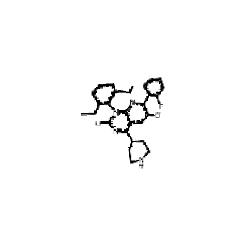 CCc1cccc(CC)c1-n1c(=O)nc(C2CCNCC2)c2cc(Cl)c(-c3ccccc3F)nc21